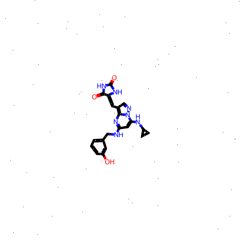 O=C1NC(=O)/C(=C/c2cnn3c(NC4CC4)cc(NCc4cccc(O)c4)nc23)N1